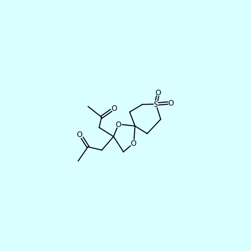 CC(=O)CC1(CC(C)=O)COC2(CCS(=O)(=O)CC2)O1